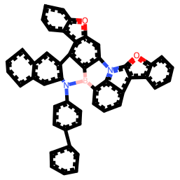 c1ccc(-c2ccc(N3B4c5c(cc6oc7ccccc7c6c5-c5cc6ccccc6cc53)-n3c5oc6ccccc6c5c5cccc4c53)cc2)cc1